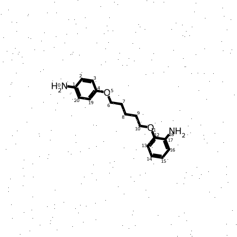 Nc1ccc(OCCCCCOc2ccccc2N)cc1